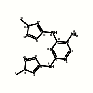 Cn1cc(Nc2ncc(N)c(Nc3cnn(C)c3)n2)cn1